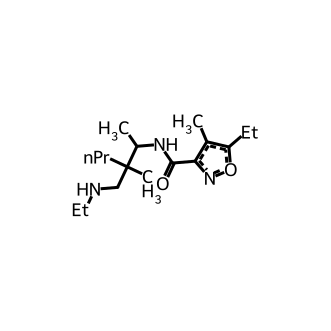 CCCC(C)(CNCC)C(C)NC(=O)c1noc(CC)c1C